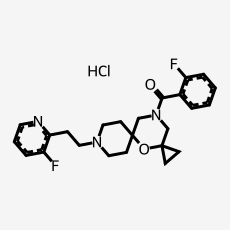 Cl.O=C(c1ccccc1F)N1CC2(CCN(CCc3ncccc3F)CC2)OC2(CC2)C1